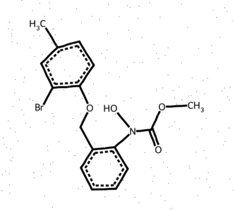 COC(=O)N(O)c1ccccc1COc1ccc(C)cc1Br